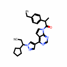 CC(C)Cc1ccc(C(C)C(=O)n2ccc3c(-c4cnn(C(CC#N)C5CCCC5)c4)ncnc32)cc1